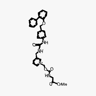 COC(=O)CNC(=O)OC[n+]1cccc(CNC(=O)Nc2ccc(COc3ccccc3-c3ccccc3)cc2)c1